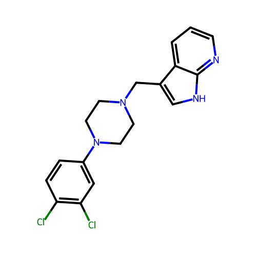 Clc1ccc(N2CCN(Cc3c[nH]c4ncccc34)CC2)cc1Cl